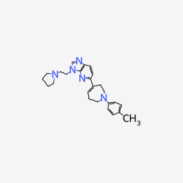 Cc1ccc(N2CCC=C(c3ccc4ncn(CCN5CCCC5)c4n3)CC2)cc1